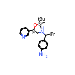 CC(C)C(NC[C@H](O[Si](C)(C)C(C)(C)C)c1cccnc1)c1ccc(N)cc1